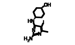 Cc1nc(N)nc(N[C@H]2CC[C@H](O)CC2)c1I